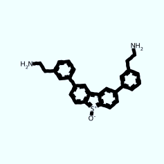 NCCc1cccc(-c2ccc3c(c2)c2cc(-c4cccc(CCN)c4)ccc2[s+]3[O-])c1